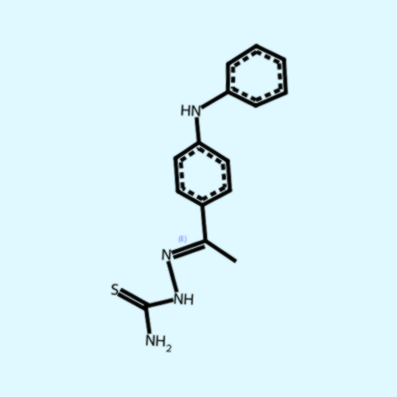 C/C(=N\NC(N)=S)c1ccc(Nc2ccccc2)cc1